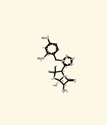 COc1ccc(Cn2nnnc2C2N3C(=O)C(N)[C@H]3SC2(C)C)c(OC)c1